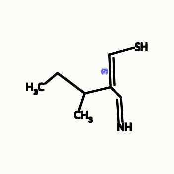 CCC(C)/C(C=N)=C/S